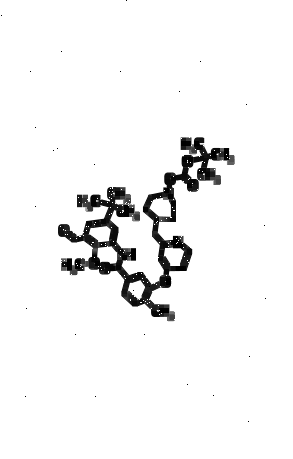 COc1c(C=O)cc(C(C)(C)C)cc1NC(=O)c1ccc(C)c(Oc2ccnc(CC3CCN(OC(=O)OC(C)(C)C)CC3)c2)c1